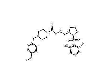 COc1ccc(CN2CCN(C(=O)COCC3CCCN3S(=O)(=O)c3c(Cl)cccc3Cl)CC2)cc1